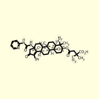 CC(C)C1=C2[C@H]3CC[C@@H]4[C@@]5(C)CC[C@H](OC(=O)CC(C)(C)C(=O)O)C(C)(C)[C@@H]5CC[C@@]4(C)[C@]3(C)CC[C@@]2(NC(=O)Nc2ccccn2)CC1=O